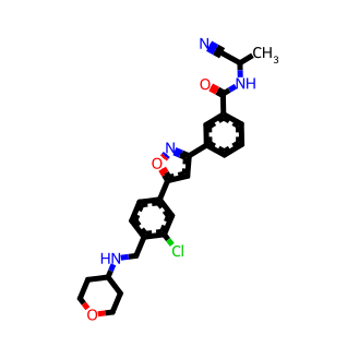 CC(C#N)NC(=O)c1cccc(-c2cc(-c3ccc(CNC4CCOCC4)c(Cl)c3)on2)c1